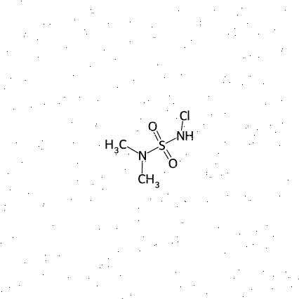 CN(C)S(=O)(=O)NCl